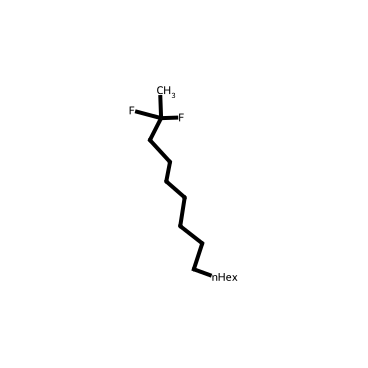 CCCCCCCCCCCCCC(C)(F)F